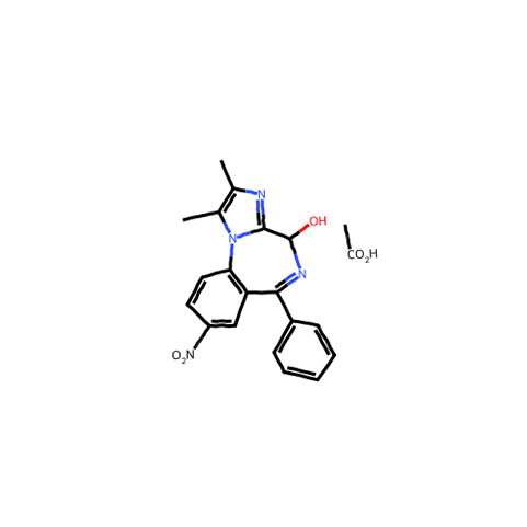 CC(=O)O.Cc1nc2n(c1C)-c1ccc([N+](=O)[O-])cc1C(c1ccccc1)=NC2O